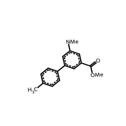 CNc1cc(C(=O)OC)cc(-c2ccc(C)cc2)c1